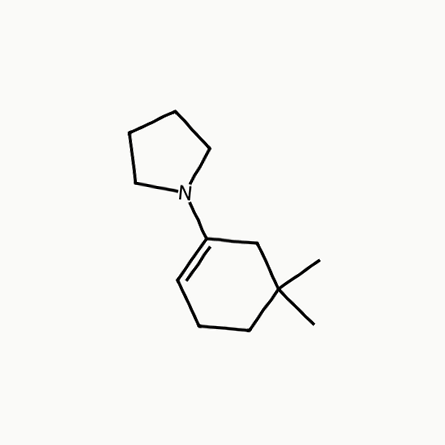 CC1(C)CCC=C(N2CCCC2)C1